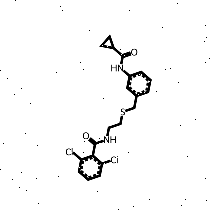 O=C(NCCSCc1cccc(NC(=O)C2CC2)c1)c1c(Cl)cccc1Cl